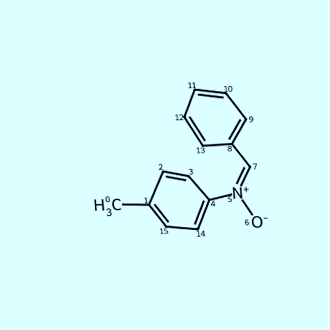 Cc1ccc(/[N+]([O-])=C\c2ccccc2)cc1